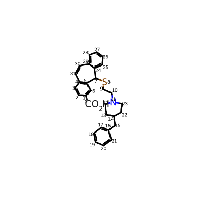 O=C(O)c1ccc2c(c1)C(SCCN1CCC(Cc3ccccc3)CC1)c1ccccc1C=C2